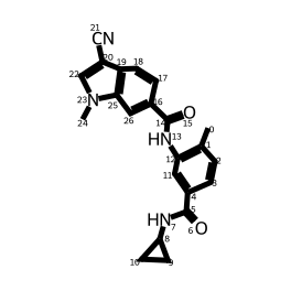 Cc1ccc(C(=O)NC2CC2)cc1NC(=O)c1ccc2c(C#N)cn(C)c2c1